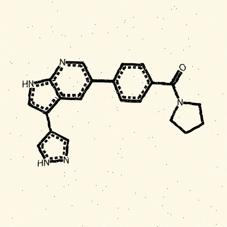 O=C(c1ccc(-c2cnc3[nH]cc(-c4cn[nH]c4)c3c2)cc1)N1CCCC1